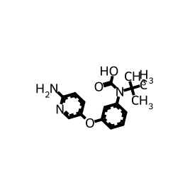 CC(C)(C)N(C(=O)O)c1cccc(Oc2ccc(N)nc2)c1